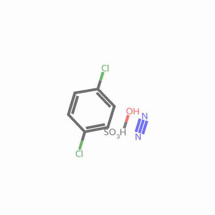 Clc1ccc(Cl)cc1.N#N.O=S(=O)(O)O